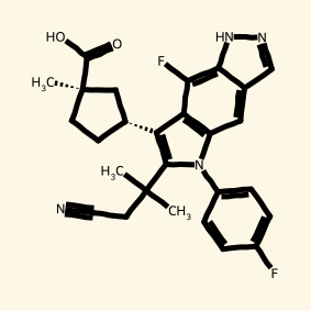 CC(C)(CC#N)c1c([C@@H]2CC[C@@](C)(C(=O)O)C2)c2c(F)c3[nH]ncc3cc2n1-c1ccc(F)cc1